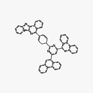 C1=CC(c2nc(-c3cc4ccccc4c4ccccc34)cc(-c3cc4ccccc4c4ccccc34)n2)CC=C1c1nc2c(nc3ccccn32)c2ccccc12